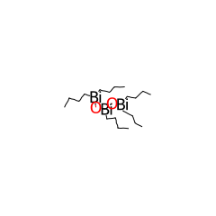 CCC[CH2][Bi]([CH2]CCC)[O][Bi]([CH2]CCC)[O][Bi]([CH2]CCC)[CH2]CCC